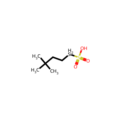 CC(C)(C)CC[SiH2]S(=O)(=O)O